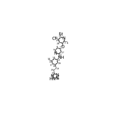 CCc1nc(C)c(Oc2ccnc(Nc3cc(C)cc(CCc4nn[nH]n4)c3)c2)cc1Cl